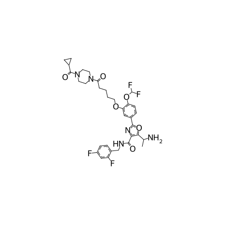 CC(N)c1oc(-c2ccc(OC(F)F)c(OCCCCC(=O)N3CCN(C(=O)C4CC4)CC3)c2)nc1C(=O)NCc1ccc(F)cc1F